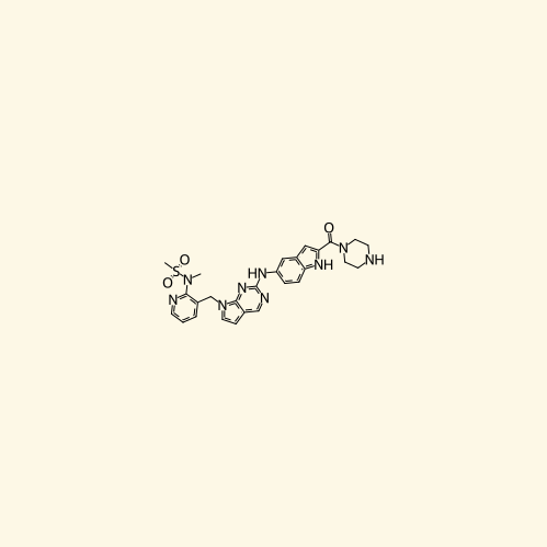 CN(c1ncccc1Cn1ccc2cnc(Nc3ccc4[nH]c(C(=O)N5CCNCC5)cc4c3)nc21)S(C)(=O)=O